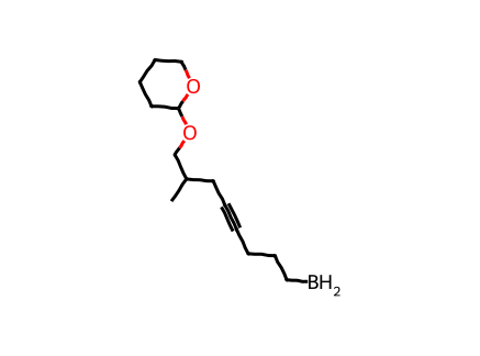 BCCCC#CCC(C)COC1CCCCO1